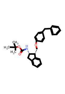 CC(C)(C)OC(=O)N[C@H]1Cc2ccccc2[C@H]1COc1ccc(Cc2ccccc2)cc1